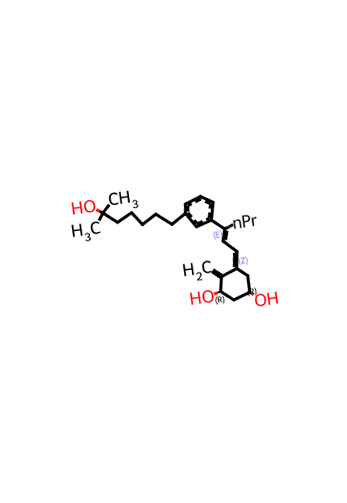 C=C1/C(=C\C=C(/CCC)c2cccc(CCCCCC(C)(C)O)c2)C[C@@H](O)C[C@H]1O